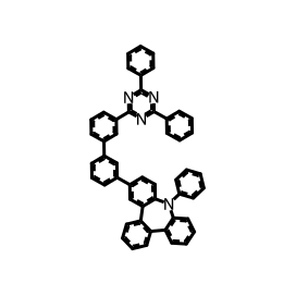 c1ccc(-c2nc(-c3ccccc3)nc(-c3cccc(-c4cccc(-c5ccc6c(c5)-c5ccccc5-c5ccccc5N6c5ccccc5)c4)c3)n2)cc1